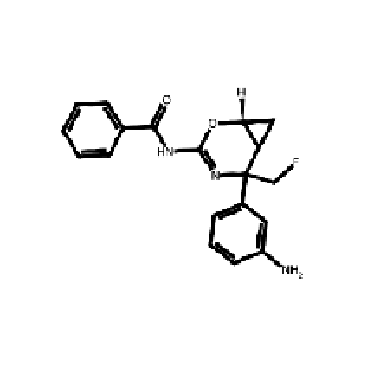 Nc1cccc(C2(CF)N=C(NC(=O)c3ccccc3)O[C@@H]3CC32)c1